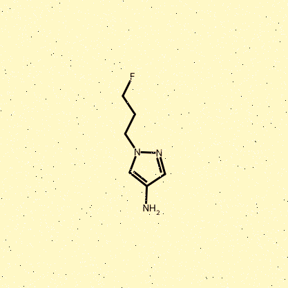 Nc1cnn(CCCF)c1